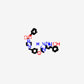 Nc1nnc(-c2ccccc2O)cc1N1CC(Oc2ccc(CN3CCN(C(=O)OCc4ccccc4)CC3)cc2)C1